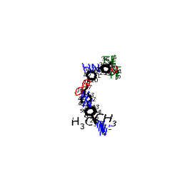 CC(C)(CN=[N+]=[N-])c1ccc(N2CCN(C(=O)CO[C@H]3CC[C@@H](Nc4ccc(OC(F)(F)F)c(C(F)(F)F)c4)CC3)CC2)cc1